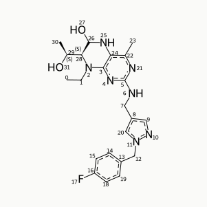 CCN1c2nc(NCc3cnn(Cc4ccc(F)cc4)c3)nc(C)c2NC(O)[C@@H]1[C@H](C)O